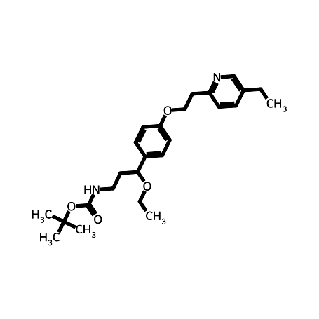 CCOC(CCNC(=O)OC(C)(C)C)c1ccc(OCCc2ccc(CC)cn2)cc1